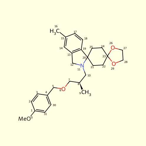 COc1ccc(COC[C@H](C)CN2Cc3cc(C)ccc3C23CCC2(CC3)OCCO2)cc1